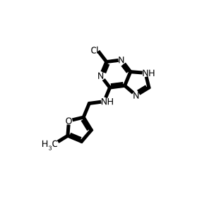 Cc1ccc(CNc2nc(Cl)nc3[nH]cnc23)o1